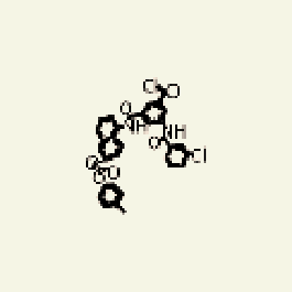 Cc1ccc(OS(=O)(=O)c2ccc3c(NC(=O)c4cc(NC(=O)c5cccc(Cl)c5)cc(C(=O)Cl)c4)cccc3c2)cc1